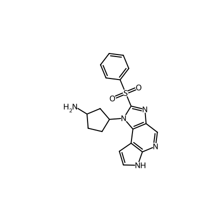 NC1CCC(n2c(S(=O)(=O)c3ccccc3)nc3cnc4[nH]ccc4c32)C1